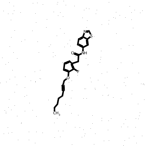 CCCCCC#CCOc1cccc(CC(=O)Nc2ccc3ncsc3c2)c1F